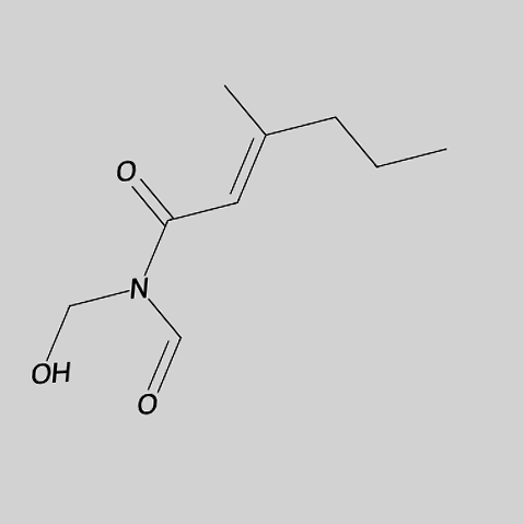 CCCC(C)=CC(=O)N(C=O)CO